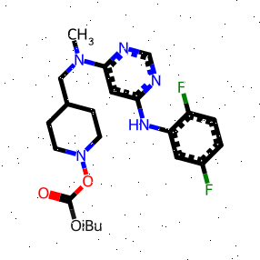 CC(C)COC(=O)ON1CCC(CN(C)c2cc(Nc3cc(F)ccc3F)ncn2)CC1